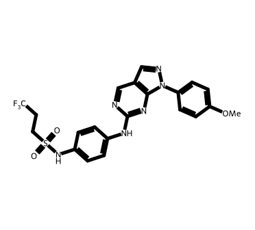 COc1ccc(-n2ncc3cnc(Nc4ccc(NS(=O)(=O)CCC(F)(F)F)cc4)nc32)cc1